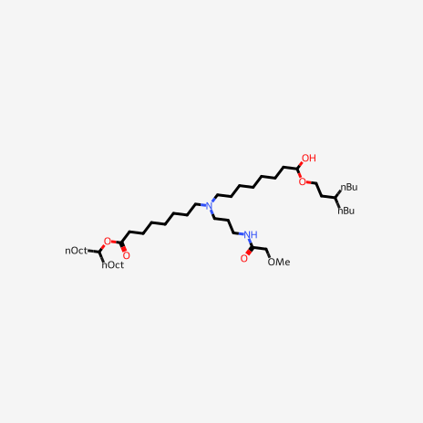 CCCCCCCCC(CCCCCCCC)OC(=O)CCCCCCCN(CCCCCCCC(O)OCCC(CCCC)CCCC)CCCNC(=O)COC